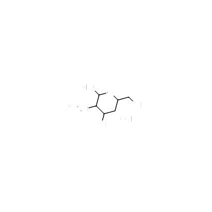 CC(=O)NC1C(O)OC(CO)[C@H](O)C1O